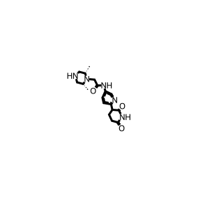 C[C@@H]1CNC[C@H](C)N1CC(=O)Nc1ccc(C2CCC(=O)NC2=O)nc1